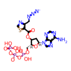 [N-]=[N+]=NCc1ncsc1C(=O)OC1C[C@H](n2cnc3c(N)ncnc32)O[C@@H]1COP(=O)(O)OP(=O)(O)OP(=O)(O)O